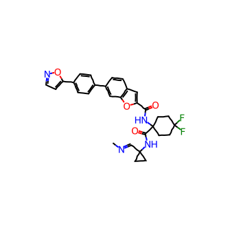 C/N=C/C1(NC(=O)C2(NC(=O)c3cc4ccc(-c5ccc(-c6ccno6)cc5)cc4o3)CCC(F)(F)CC2)CC1